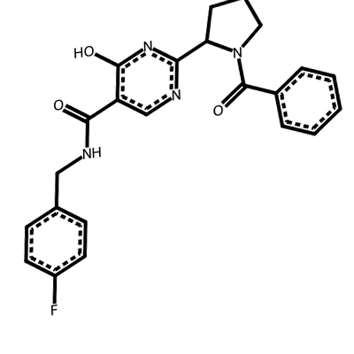 O=C(NCc1ccc(F)cc1)c1cnc(C2CCCN2C(=O)c2ccccc2)nc1O